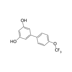 Oc1cc(O)cc(-c2ccc(OC(F)(F)F)cc2)c1